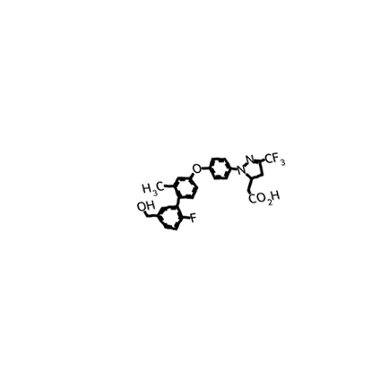 Cc1cc(Oc2ccc(N3N=C(C(F)(F)F)CC3CC(=O)O)cc2)ccc1-c1cc(CO)ccc1F